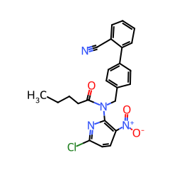 CCCCC(=O)N(Cc1ccc(-c2ccccc2C#N)cc1)c1nc(Cl)ccc1[N+](=O)[O-]